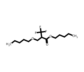 CCCCCOCC(C(=O)OCCCCC)C(F)(F)F